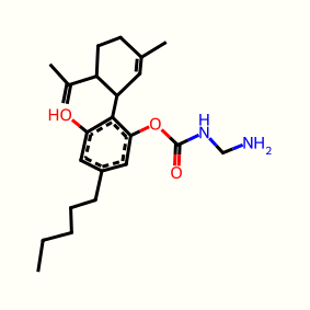 C=C(C)C1CCC(C)=CC1c1c(O)cc(CCCCC)cc1OC(=O)NCN